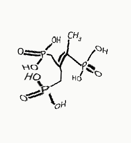 CC(=C(CP(=O)(O)O)P(=O)(O)O)P(=O)(O)O